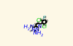 CN1C(N)=Nc2nc(-c3c(Cl)ccc(F)c3Cl)ccc2C1N